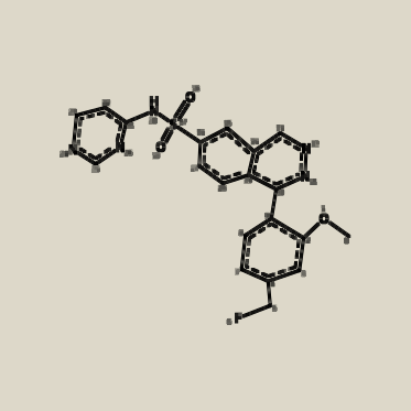 COc1cc(CF)ccc1-c1nncc2cc(S(=O)(=O)Nc3ccncn3)ccc12